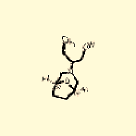 OCC(CO)N1C[C@H]2CC[C@@H](C1)O2